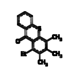 CCc1c(C)c(C)c(C)c2sc3ccccc3c(=O)c12